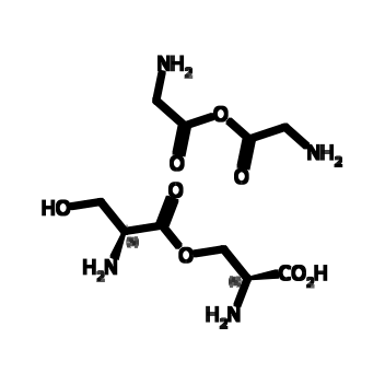 NCC(=O)OC(=O)CN.N[C@@H](COC(=O)[C@@H](N)CO)C(=O)O